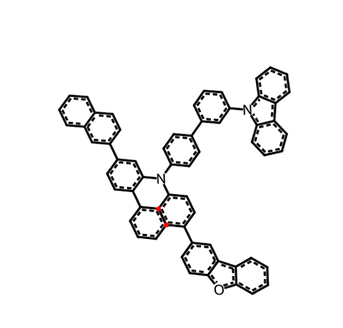 c1ccc(-c2ccc(-c3ccc4ccccc4c3)cc2N(c2ccc(-c3cccc(-n4c5ccccc5c5ccccc54)c3)cc2)c2ccc(-c3ccc4oc5ccccc5c4c3)cc2)cc1